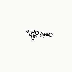 COc1ccc(-c2sc(NCC3CCCCC3)nc2C)cc1S(=O)(=O)NC1CC1